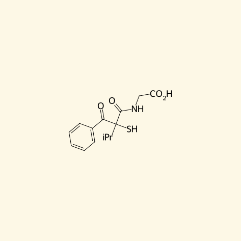 CC(C)C(S)(C(=O)NCC(=O)O)C(=O)c1ccccc1